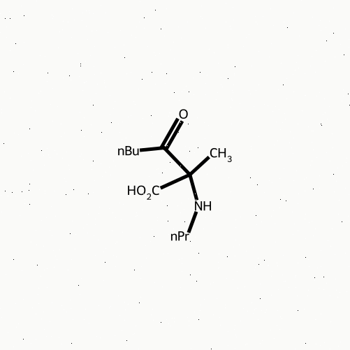 CCCCC(=O)C(C)(NCCC)C(=O)O